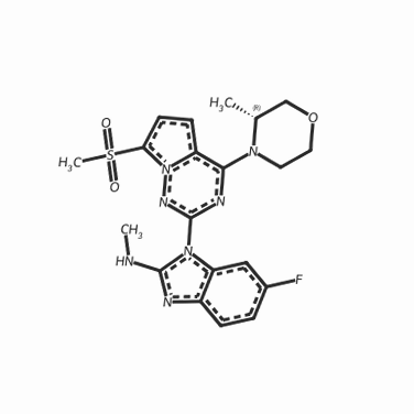 CNc1nc2ccc(F)cc2n1-c1nc(N2CCOC[C@H]2C)c2ccc(S(C)(=O)=O)n2n1